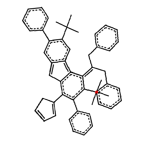 CC(C)(C)c1cc2c(cc1-c1ccccc1)=Cc1c(C3=CC=CC3)c(-c3ccccc3)c(C(C)(C)C)c(=C(Cc3ccccc3)Cc3ccccc3)c1=2